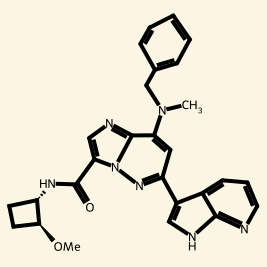 CO[C@H]1CC[C@@H]1NC(=O)c1cnc2c(N(C)Cc3ccccc3)cc(-c3c[nH]c4ncccc34)nn12